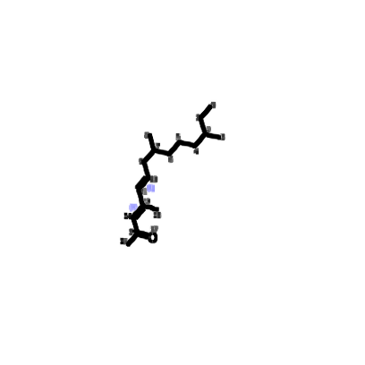 CCC(C)CCCC(C)C/C=C/C(C)=C/C(C)=O